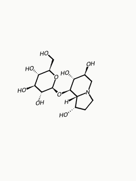 OC[C@H]1O[C@@H](O[C@H]2[C@H](O)[C@@H](O)CN3CC[C@H](O)[C@H]23)[C@H](O)[C@@H](O)[C@@H]1O